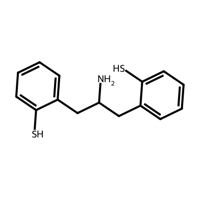 NC(Cc1ccccc1S)Cc1ccccc1S